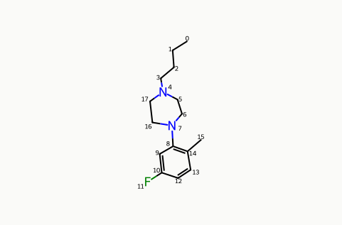 CCCCN1CCN(c2cc(F)ccc2C)CC1